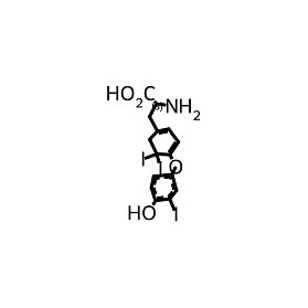 N[C@@H](CC1=CC=C(Oc2ccc(O)c(I)c2)C(I)(I)C1)C(=O)O